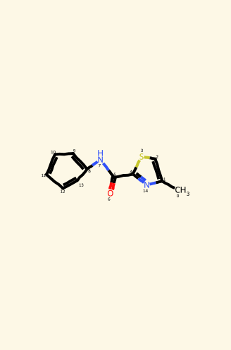 Cc1csc(C(=O)Nc2ccccc2)n1